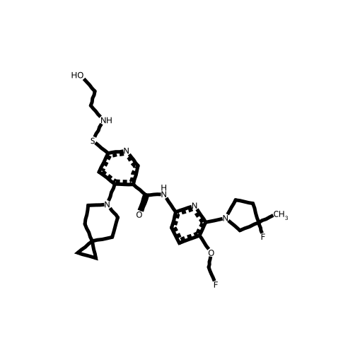 CC1(F)CCN(c2nc(NC(=O)c3cnc(SNCCO)cc3N3CCC4(CC3)CC4)ccc2OCF)C1